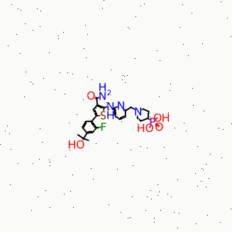 CC(C)(O)c1ccc(-c2cc(C(N)=O)c(Nc3cccc(CN4CCC(P(=O)(O)O)CC4)n3)s2)c(F)c1